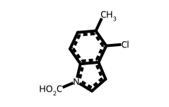 Cc1ccc2c(ccn2C(=O)O)c1Cl